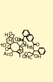 CC(=O)O[C@H]1C(=O)[C@@]2(C)[C@H]([C@H](OC(=O)c3ccccc3)[C@]3(O)C[C@H](OC[C@](O)(C=O)[C@@H](NC(=O)c4ccccc4)c4ccccc4)C(C)=C1C3(C)C)[C@]1(OC(C)=O)CO[C@@H]1C[C@@H]2O